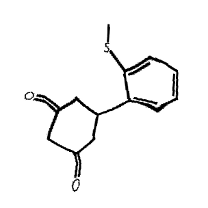 CSc1ccccc1C1CC(=O)CC(=O)C1